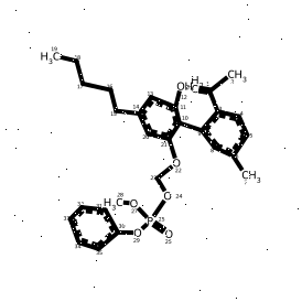 C=C(C)c1ccc(C)cc1-c1c(O)cc(CCCCC)cc1OCOP(=O)(OC)Oc1ccccc1